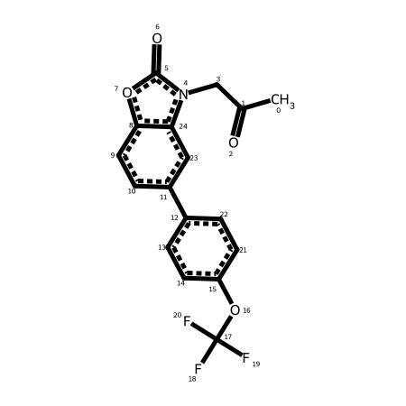 CC(=O)Cn1c(=O)oc2ccc(-c3ccc(OC(F)(F)F)cc3)cc21